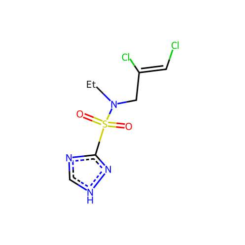 CCN(CC(Cl)=CCl)S(=O)(=O)c1nc[nH]n1